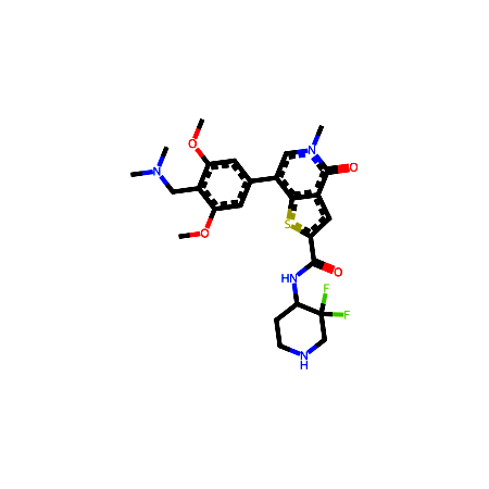 COc1cc(-c2cn(C)c(=O)c3cc(C(=O)NC4CCNCC4(F)F)sc23)cc(OC)c1CN(C)C